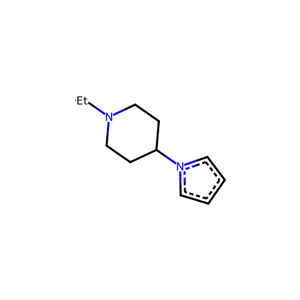 C[CH]N1CCC(n2cccc2)CC1